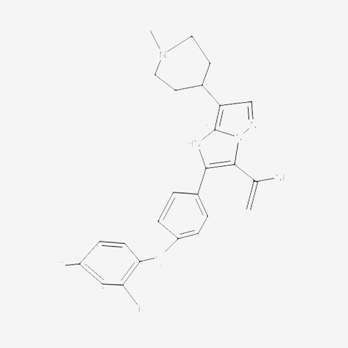 CN1CCC(c2cnn3c(C(N)=O)c(-c4ccc(Oc5ccc(F)cc5F)cc4)[nH]c23)CC1